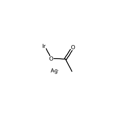 CC(=O)[O][Ir].[Ag]